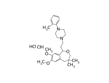 COc1cc2c(cc1OC)C(CCN1CCN(c3ccccc3C)CC1)OCC(C)(C)C2.Cl.Cl